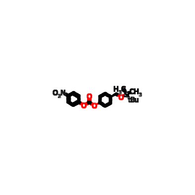 CC(C)(C)[Si](C)(C)OC[C@H]1CC[C@H](OC(=O)Oc2ccc([N+](=O)[O-])cc2)CC1